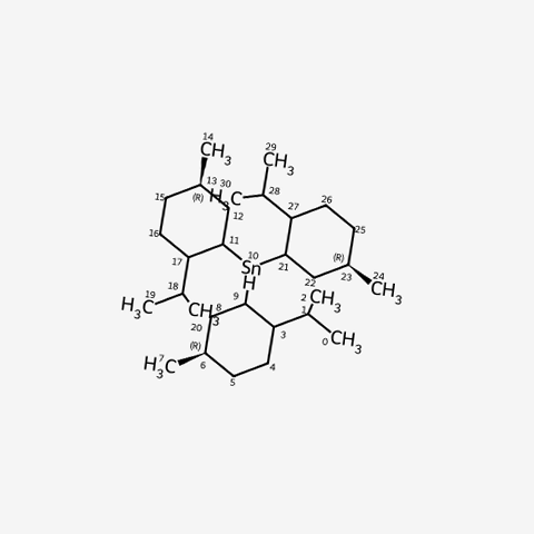 CC(C)C1CC[C@@H](C)C[CH]1[SnH]([CH]1C[C@H](C)CCC1C(C)C)[CH]1C[C@H](C)CCC1C(C)C